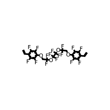 C=Cc1c(F)c(F)c(OCC(F)(F)OC(F)(F)C(F)(F)OC(F)(F)COc2c(F)c(F)c(C=C)c(F)c2F)c(F)c1F